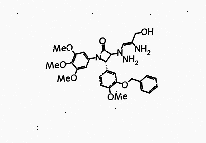 COc1ccc([C@H]2C(N(N)/C=C(\N)CO)C(=O)N2c2cc(OC)c(OC)c(OC)c2)cc1OCc1ccccc1